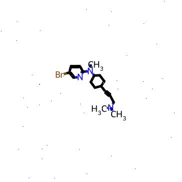 CN(C)CC#CC1CCC(N(C)c2ccc(Br)cn2)CC1